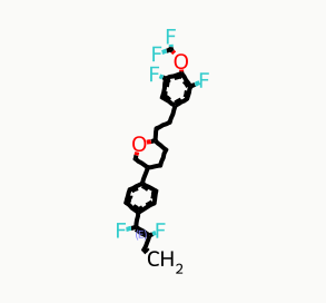 C=C/C(F)=C(\F)c1ccc(C2CCC(CCc3cc(F)c(OC(F)F)c(F)c3)OC2)cc1